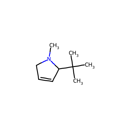 CN1CC=CC1C(C)(C)C